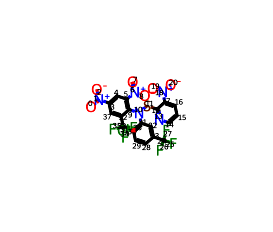 O=[N+]([O-])c1cc([N+](=O)[O-])c(N(Sc2ncccc2[N+](=O)[O-])c2cc(C(F)(F)F)ccc2Cl)c(C(F)(F)F)c1